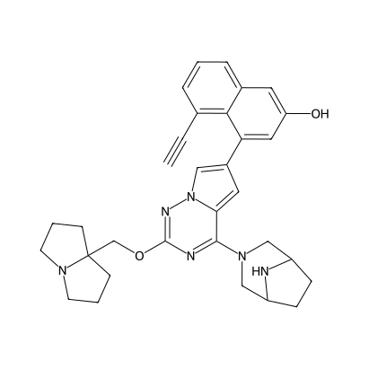 C#Cc1cccc2cc(O)cc(-c3cc4c(N5CC6CCC(C5)N6)nc(OCC56CCCN5CCC6)nn4c3)c12